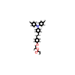 CCC(=O)OC(C)COc1ccc(CCc2ccc(N(c3ccc(C)cc3)c3ccc(C)cc3)cc2)cc1